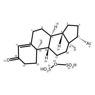 CC(=O)[C@H]1CC[C@H]2[C@@H]3CCC4=CC(=O)CC[C@]4(C)[C@H]3CC[C@]12C.O=S(=O)(O)OS(=O)(=O)O